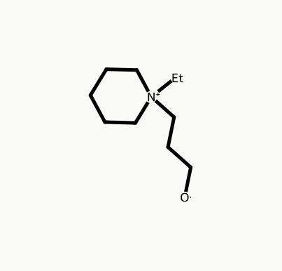 CC[N+]1(CCC[O])CCCCC1